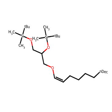 CCCCCCCCCCCCCC/C=C\OCC(CO[Si](C)(C)C(C)(C)C)O[Si](C)(C)C(C)(C)C